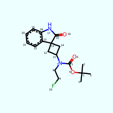 CC(C)(C)OC(=O)N(CCF)C1CC2(C1)C(=O)Nc1ccccc12